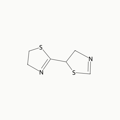 C1=NCC(C2=NCCS2)S1